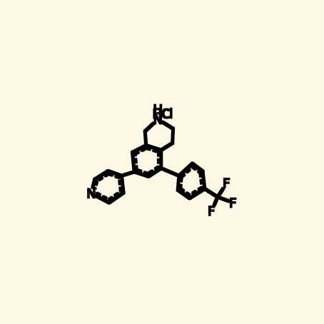 Cl.FC(F)(F)c1ccc(-c2cc(-c3ccncc3)cc3c2CCNC3)cc1